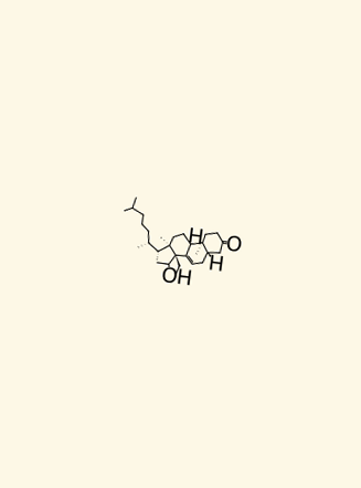 CC[C@]12C3=CC[C@H]4CC(=O)CC[C@]4(C)[C@H]3CC[C@]1(C)[C@@H]([C@H](C)CCCC(C)C)C[C@@H]2O